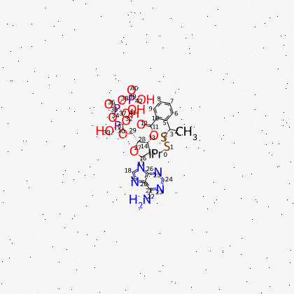 CC(C)SSC(C)c1ccccc1C(=O)O[C@@H]1C[C@H](n2cnc3c(N)ncnc32)O[C@@H]1COP(=O)(O)OP(=O)(O)OP(=O)(O)O